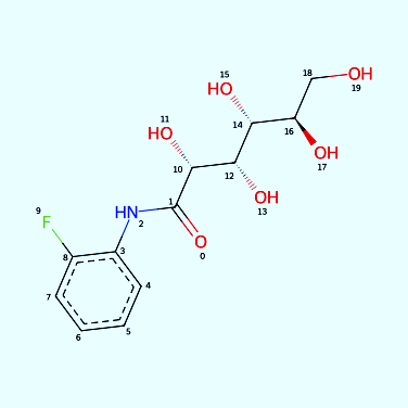 O=C(Nc1ccccc1F)[C@H](O)[C@@H](O)[C@H](O)[C@H](O)CO